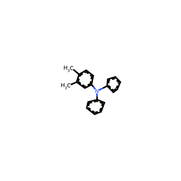 Cc1ccc(N(c2ccccc2)c2ccccc2)cc1C